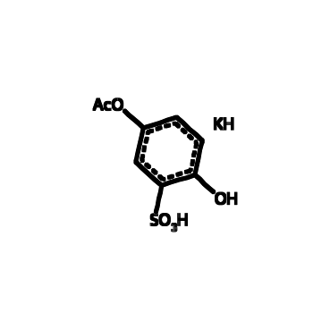 CC(=O)Oc1ccc(O)c(S(=O)(=O)O)c1.[KH]